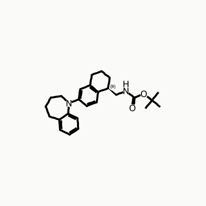 CC(C)(C)OC(=O)NC[C@@H]1CCCc2cc(N3CCCCc4ccccc43)ccc21